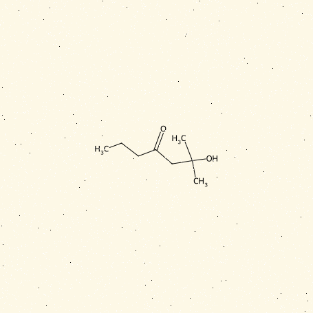 CCCC(=O)CC(C)(C)O